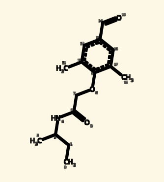 CCC(C)NC(=O)COc1c(C)cc(C=O)cc1C